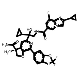 C[C@]1(C(N)=O)COc2c1cc(C(O)(CNC(=O)c1cc(F)c3nc(C4CC4)cn3c1)C1CC1)nc2-c1ccc2c(c1)OC(F)(F)O2